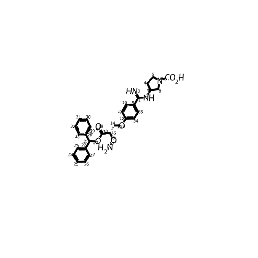 N=C(NC1CCN(C(=O)O)C1)c1ccc(OC[C@H](ON)C(=O)OC(c2ccccc2)c2ccccc2)cc1